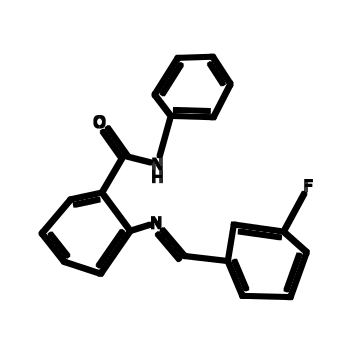 O=C(Nc1ccccc1)c1ccccc1N=Cc1cccc(F)c1